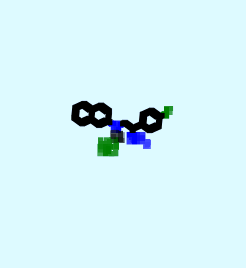 CCN(CC(N)c1ccc(F)cc1)c1ccc2ccccc2c1.Cl.Cl